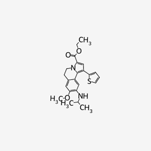 CCOC(=O)c1cc(-c2cccs2)c2n1CCc1cc(OC)c(NC(C)C)cc1-2